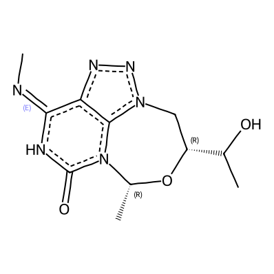 C/N=c1/[nH]c(=O)n2c3c1nnn3C[C@H](C(C)O)O[C@@H]2C